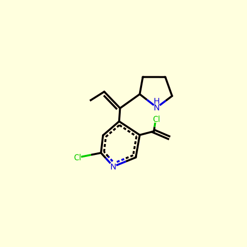 C=C(Cl)c1cnc(Cl)cc1/C(=C\C)C1CCCN1